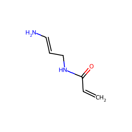 C=CC(=O)NCC=CN